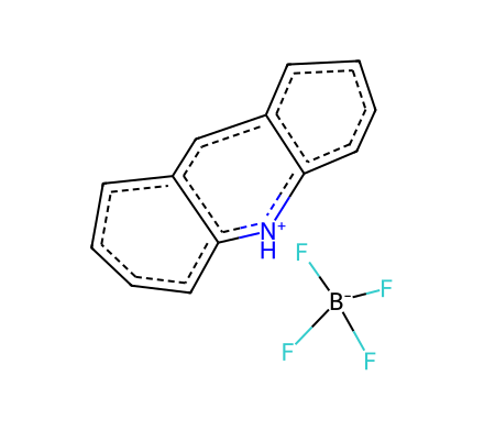 F[B-](F)(F)F.c1ccc2[nH+]c3ccccc3cc2c1